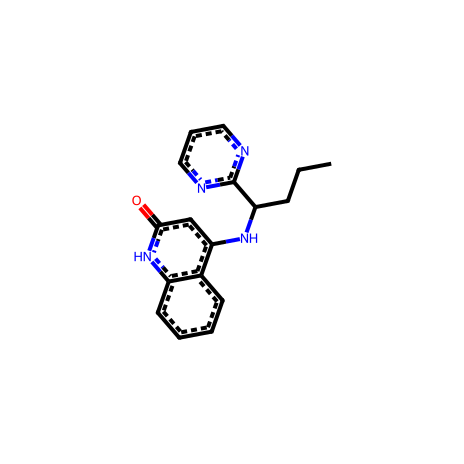 CCCC(Nc1cc(=O)[nH]c2ccccc12)c1ncccn1